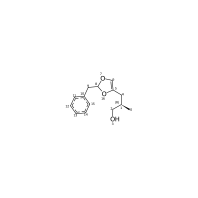 C[C@@H](CO)CC1=COC(Cc2ccccc2)O1